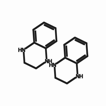 c1ccc2c(c1)NCCN2.c1ccc2c(c1)NCCN2